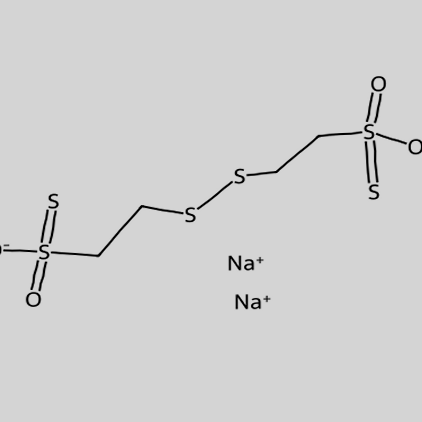 O=S([O-])(=S)CCSSCCS(=O)([O-])=S.[Na+].[Na+]